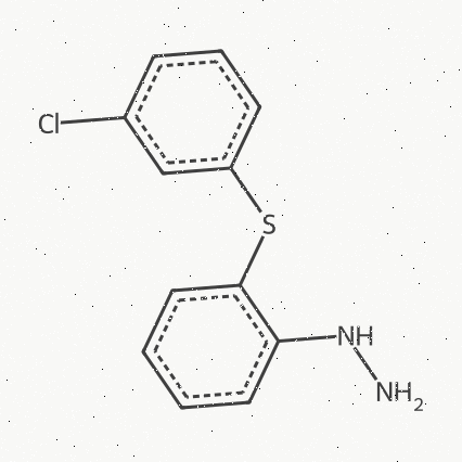 NNc1ccccc1Sc1cccc(Cl)c1